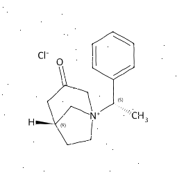 C[C@@H](c1ccccc1)[N+]12CC[C@H](CC(=O)C1)C2.[Cl-]